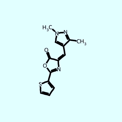 Cc1nn(C)cc1/C=C1/N=C(c2cccs2)OC1=O